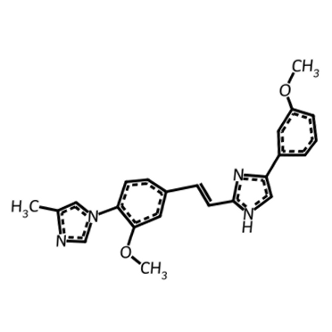 COc1cccc(-c2c[nH]c(C=Cc3ccc(-n4cnc(C)c4)c(OC)c3)n2)c1